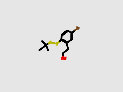 CC(C)(C)SSc1ccc(Br)cc1CCO